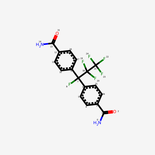 NC(=O)c1ccc(C(F)(c2ccc(C(N)=O)cc2)C(F)(F)C(F)(F)F)cc1